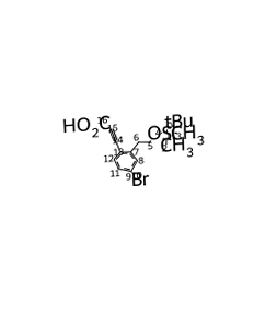 CC(C)(C)[Si](C)(C)OCCc1cc(Br)ccc1C#CC(=O)O